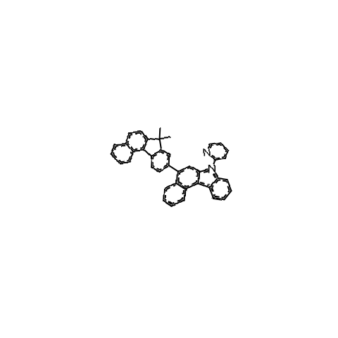 CC1(C)c2cc(-c3cc4c(c5ccccc35)c3ccccc3n4-c3ccccn3)ccc2-c2c1ccc1ccccc21